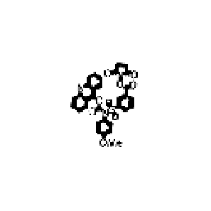 COc1ccc(N(C(=O)Oc2c3ccccc3nc3ccccc23)S(=O)(=O)c2cccc(C(=O)ON3C(=O)CCC3=O)c2)cc1